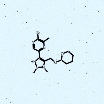 Cc1nc(C2=C(COC3CCCCO3)N(C)N(C)N2)cnc1Br